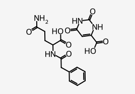 NC(=O)CCC(NC(=O)Cc1ccccc1)C(=O)O.O=C(O)c1cc(=O)[nH]c(=O)[nH]1